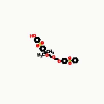 CC(C)(OCCOCCOc1ccc(S(=O)(=O)c2ccccc2)cc1)c1ccc(S(=O)(=O)c2ccc(O)cc2)cc1